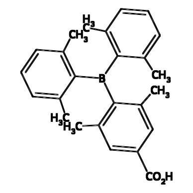 Cc1cccc(C)c1B(c1c(C)cccc1C)c1c(C)cc(C(=O)O)cc1C